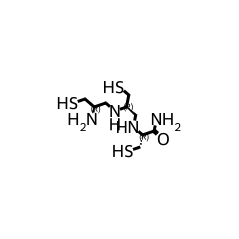 NC(=O)[C@H](CS)NC[C@H](CS)NC[C@@H](N)CS